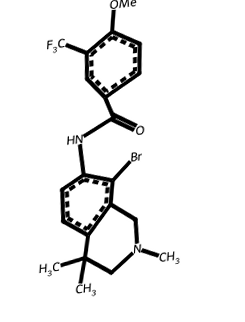 COc1ccc(C(=O)Nc2ccc3c(c2Br)CN(C)CC3(C)C)cc1C(F)(F)F